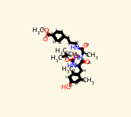 COC(=O)c1ccc(CCCNC(=O)[C@@H](C)NC(=O)C(Cc2c(C)cc(O)cc2C)NC(=O)OC(C)(C)C)cc1